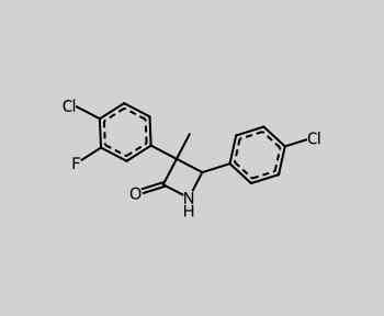 CC1(c2ccc(Cl)c(F)c2)C(=O)NC1c1ccc(Cl)cc1